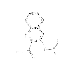 CC(=O)Oc1cc2ccccc2nc1C(=O)O